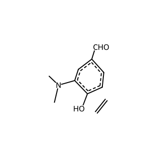 C=C.CN(C)c1cc(C=O)ccc1O